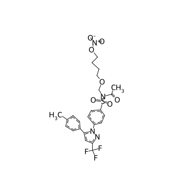 CC(=O)N(COCCCCO[N+](=O)[O-])S(=O)(=O)c1ccc(-n2nc(C(F)(F)F)cc2-c2ccc(C)cc2)cc1